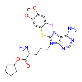 Nc1ncnc2c1nc(Sc1cc3c(cc1I)OCO3)n2CCCC(N)C(=O)OC1CCCC1